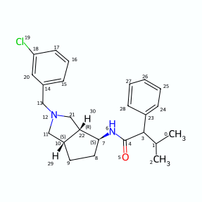 CC(C)C(C(=O)N[C@H]1CC[C@@H]2CN(Cc3cccc(Cl)c3)C[C@@H]21)c1ccccc1